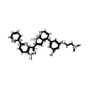 CN(C)CCOc1cc(F)cc(-c2ccnc3[nH]c(-c4n[nH]c5ccc(-c6ccccn6)nc45)cc23)c1